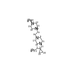 CC(C)CC1(CN2CCN(CCN3CCN(C(C)C)CC3)CC2)CC1